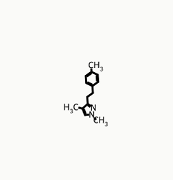 Cc1ccc(CCc2nn(C)cc2C)cc1